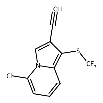 C#Cc1cn2c(Cl)cccc2c1SC(F)(F)F